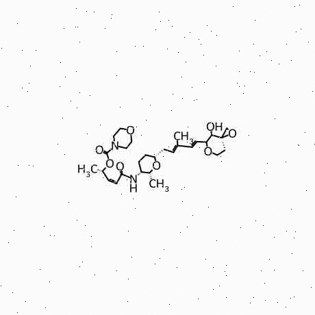 CC(/C=C/C1OCC[C@@]2(CO2)[C@@H]1O)=C\C[C@H]1CC[C@@H](NC(=O)/C=C\[C@H](C)OC(=O)N2CCOCC2)[C@@H](C)O1